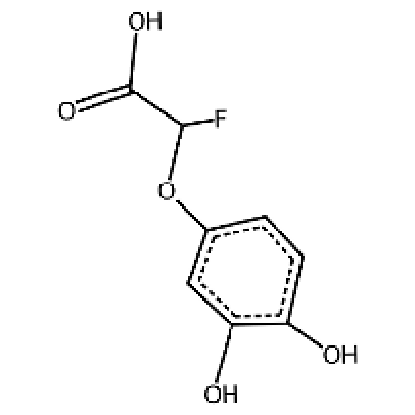 O=C(O)C(F)Oc1ccc(O)c(O)c1